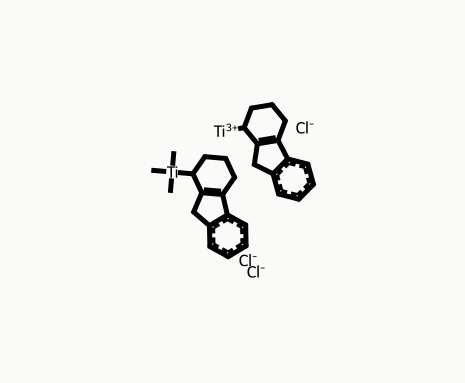 [CH3][Ti]([CH3])([CH3])[CH]1CCCC2=C1Cc1ccccc12.[Cl-].[Cl-].[Cl-].[Ti+3][CH]1CCCC2=C1Cc1ccccc12